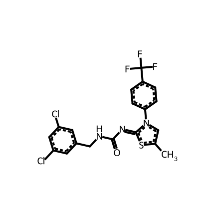 Cc1cn(-c2ccc(C(F)(F)F)cc2)/c(=N/C(=O)NCc2cc(Cl)cc(Cl)c2)s1